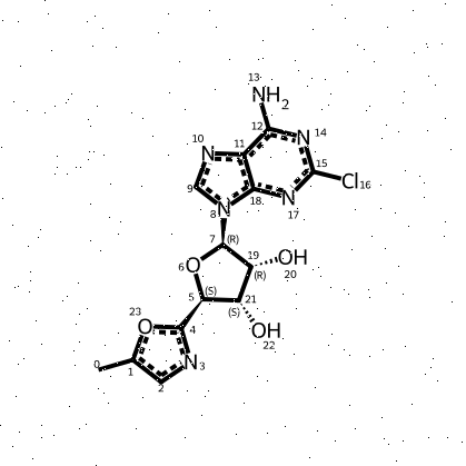 Cc1cnc([C@H]2O[C@@H](n3cnc4c(N)nc(Cl)nc43)[C@H](O)[C@@H]2O)o1